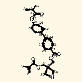 C=C(C)C(=O)OCC1(COC(=O)c2ccc(-c3ccc(OC(=O)C(=C)C)cc3)cc2)COC1